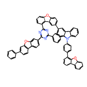 c1ccc(-c2ccc3c(c2)oc2cc(-c4nc(-c5ccccc5)nc(-c5cccc6oc7ccc(-c8ccc9c(c8)c8ccccc8n9-c8ccc(-c9cccc%10c9oc9ccccc9%10)cc8)cc7c56)n4)ccc23)cc1